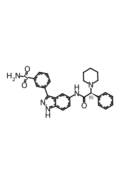 NS(=O)(=O)c1cccc(-c2n[nH]c3ccc(NC(=O)[C@H](c4ccccc4)N4CCCCC4)cc23)c1